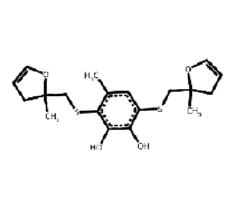 Cc1cc(SCC2(C)CC=CO2)c(O)c(O)c1SCC1(C)CC=CO1